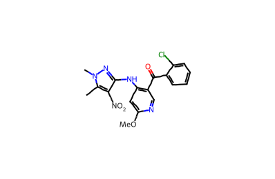 COc1cc(Nc2nn(C)c(C)c2[N+](=O)[O-])c(C(=O)c2ccccc2Cl)cn1